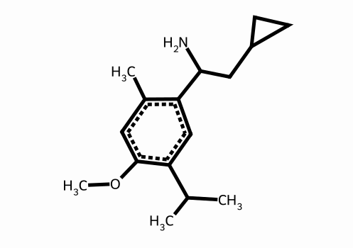 COc1cc(C)c(C(N)CC2CC2)cc1C(C)C